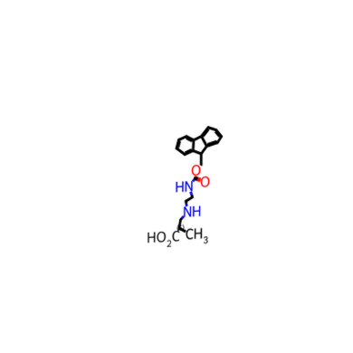 C[C@@H](CNCCNC(=O)OCC1c2ccccc2-c2ccccc21)C(=O)O